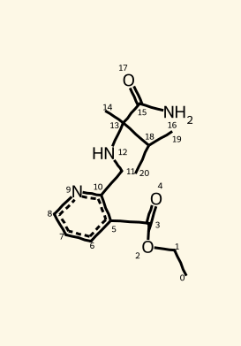 CCOC(=O)c1cccnc1CNC(C)(C(N)=O)C(C)C